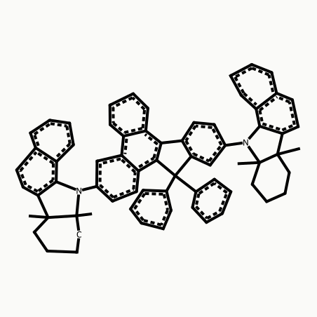 CC12CCCCC1(C)N(c1ccc3c(c1)C(c1ccccc1)(c1ccccc1)c1c-3c3ccccc3c3cc(N4c5c(ccc6ccccc56)C5(C)CCCCC45C)ccc13)c1c2ccc2ccccc12